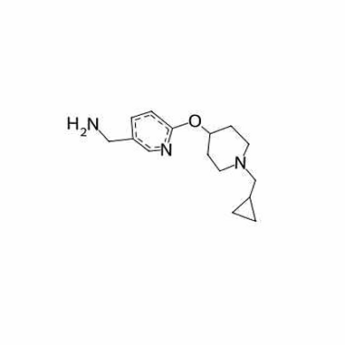 NCc1ccc(OC2CCN(CC3CC3)CC2)nc1